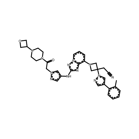 Cc1ccccc1-c1cnn(C2(CC#N)CN(c3cccn4nc(Nc5cnn(CC(=O)N6CCN(C7COC7)CC6)c5)nc34)C2)c1